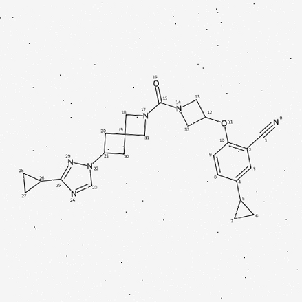 N#Cc1cc(C2CC2)ccc1OC1CN(C(=O)N2CC3(CC(n4cnc(C5CC5)n4)C3)C2)C1